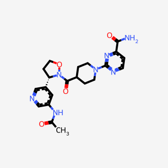 CC(=O)Nc1cncc([C@@H]2CCON2C(=O)C2CCN(c3nccc(C(N)=O)n3)CC2)c1